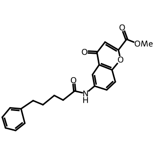 COC(=O)c1cc(=O)c2cc(NC(=O)CCCCc3ccccc3)ccc2o1